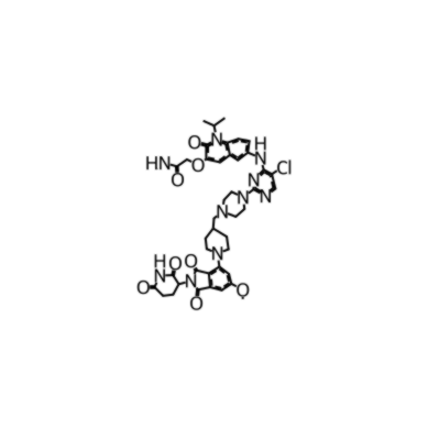 CNC(=O)COc1cc2cc(Nc3nc(N4CCN(CC5CCN(c6cc(OC)cc7c6C(=O)N(C6CCC(=O)NC6=O)C7=O)CC5)CC4)ncc3Cl)ccc2n(C(C)C)c1=O